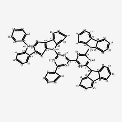 c1ccc(-c2nc(-c3nc(C4c5ccccc5-c5ccccc54)nc(-n4c5ccccc5c5ccccc54)n3)nc(-n3c4ccccc4c4cc5c(cc43)c3ccccc3n5-c3ccccc3)n2)cc1